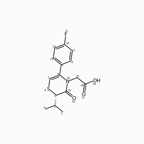 CC(C)[C@@H]1SC=C(c2ccc(F)cc2)N(CC(=O)O)C1=O